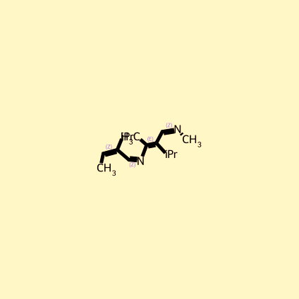 C\C=C(/C=N\C(C)=C(\C=N/C)C(C)C)C(C)C